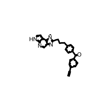 C#Cc1ccc(C(=O)c2ccc(CCCc3nc4cnc5[nH]ccc5c4n3C)cc2)cc1